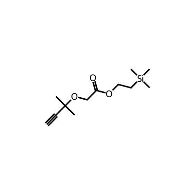 C#CC(C)(C)OCC(=O)OCC[Si](C)(C)C